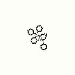 c1ccc(-c2cncc([Si](c3ccccc3)(c3ccccc3)c3ccccc3)n2)cc1